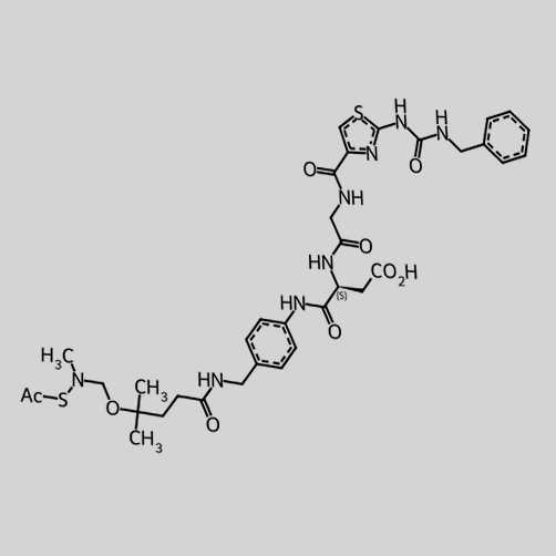 CC(=O)SN(C)COC(C)(C)CCC(=O)NCc1ccc(NC(=O)[C@H](CC(=O)O)NC(=O)CNC(=O)c2csc(NC(=O)NCc3ccccc3)n2)cc1